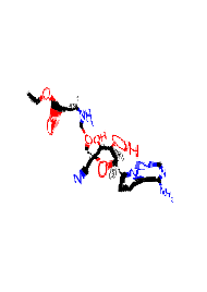 CCOC(=O)[C@H](C)NCOC[C@@]1(C#N)O[C@@H](c2ccc3c(N)ncnn23)[C@H](O)[C@@H]1O